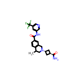 CC1CN([C@H]2C[C@H](C(N)=O)C2)Cc2cc(C(=O)Nc3cncc(C(F)(F)F)c3)ccc21